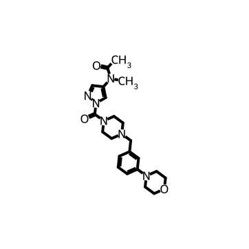 CC(=O)N(C)c1cnn(C(=O)N2CCN(Cc3cccc(N4CCOCC4)c3)CC2)c1